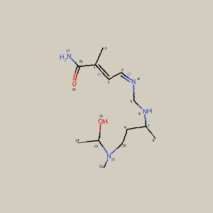 C/C(=C\C=N/CNC(C)CCN(C)C(C)O)C(N)=O